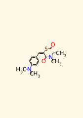 CCN(C)C(=O)/C(=C\c1ccc(N(C)C)cc1)SC=O